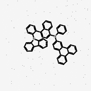 c1ccc(N(c2ccc3c4ccccc4c4ccccc4c3c2)c2ccc(-c3ccccc3-n3c4ccccc4c4ccccc43)c3ccccc23)cc1